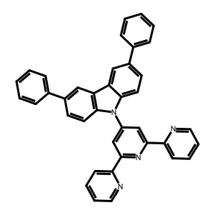 c1ccc(-c2ccc3c(c2)c2cc(-c4ccccc4)ccc2n3-c2cc(-c3ccccn3)nc(-c3ccccn3)c2)cc1